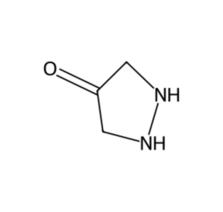 O=C1CNNC1